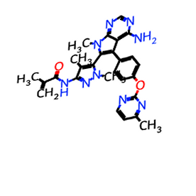 C=C(C)C(=O)Nc1nn(C)c(-c2c(-c3ccc(Oc4nccc(C)n4)cc3)c3c(N)ncnc3n2C)c1C